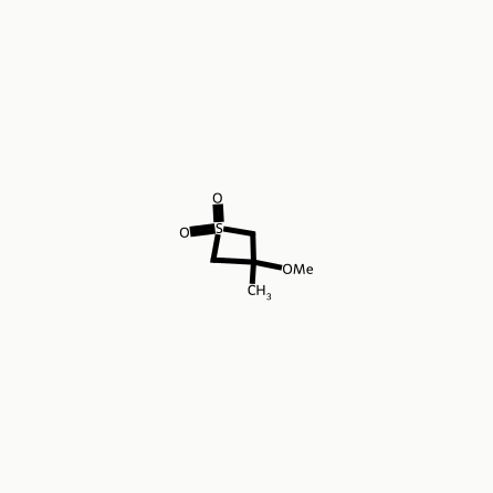 COC1(C)CS(=O)(=O)C1